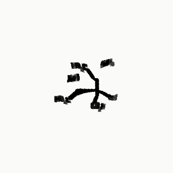 O=C(O)CC(O)(CC(=O)O)C(=O)O.[NaH].[SiH4]